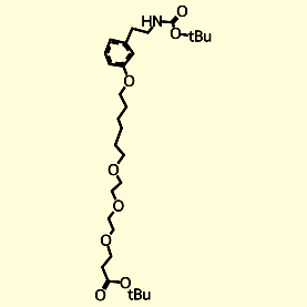 CC(C)(C)OC(=O)CCOCCOCCOCCCCCCOc1cccc(CCNC(=O)OC(C)(C)C)c1